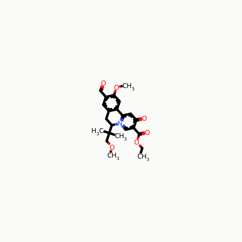 CCOC(=O)c1cn2c(cc1=O)-c1cc(OC)c(C=O)cc1CC2C(C)(C)COC